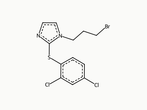 Clc1ccc(Sc2nccn2CCCBr)c(Cl)c1